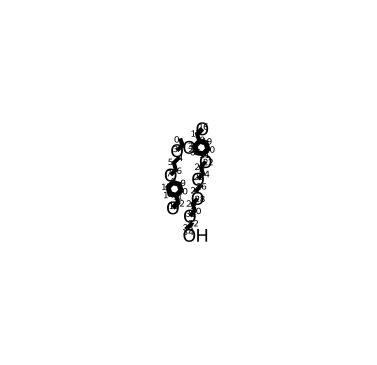 CC(=O)OCCCOc1ccc(C=O)cc1.O=Cc1ccc(OCCOCCOCCOCCO)cc1